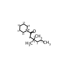 CCCC(C)(C)CC(=O)N1CCCCC1